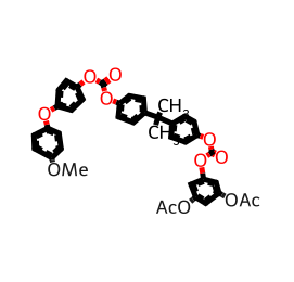 COc1ccc(Oc2ccc(OC(=O)Oc3ccc(C(C)(C)c4ccc(OC(=O)Oc5cc(OC(C)=O)cc(OC(C)=O)c5)cc4)cc3)cc2)cc1